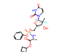 C[C@H](N[P@@](=O)(OC[C@H]1O[C@@H](n2ccc(=O)[nH]c2=O)[C@](C)(F)[C@@H]1O)Oc1ccccc1)C(=O)OC1CCC1